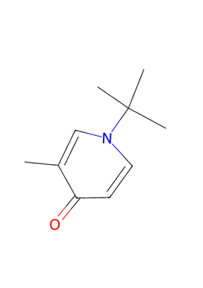 Cc1cn(C(C)(C)C)ccc1=O